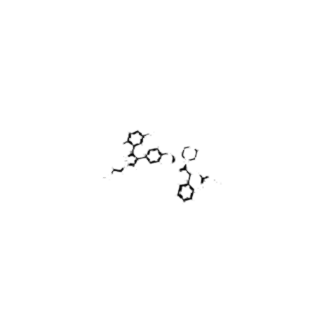 CC(C)(C)OC(=O)N[C@@H](C(=O)N1CCOC[C@H]1C(=O)Nc1ccc(-c2cn(CCO)nc2-c2cc(Cl)ccc2O)cc1)c1ccccc1